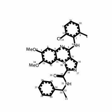 COc1cc2nc(Nc3c(C)cccc3Cl)c3cnc(C(=O)N[C@@H](C)c4ccccc4)n3c2cc1OC